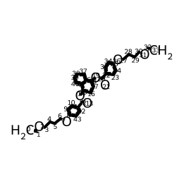 C=COCCCCOc1ccc(C(=O)Oc2ccc(OC(=O)c3ccc(OCCCCOC=C)cc3)c3ccccc23)cc1